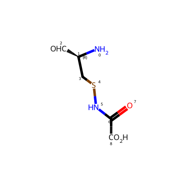 N[C@H](C=O)CSNC(=O)C(=O)O